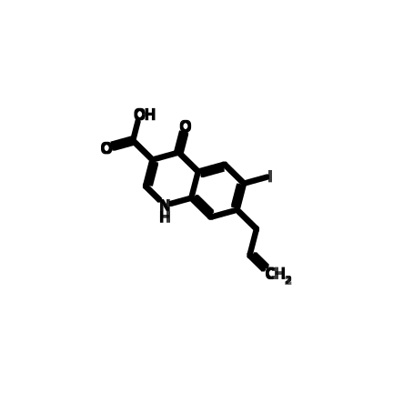 C=CCc1cc2[nH]cc(C(=O)O)c(=O)c2cc1I